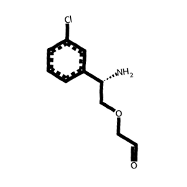 N[C@H](COCC=O)c1cccc(Cl)c1